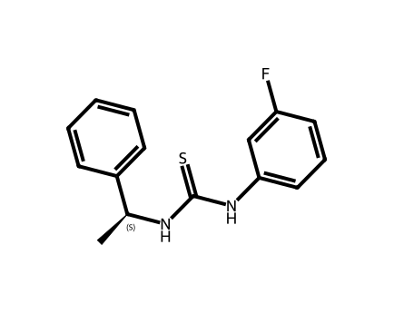 C[C@H](NC(=S)Nc1cccc(F)c1)c1ccccc1